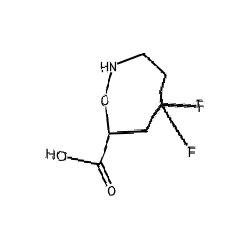 O=C(O)C1CC(F)(F)CCNO1